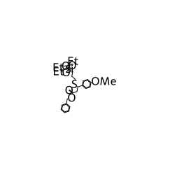 CCO[Si](CCCSC(CC(=O)OCc1ccccc1)c1ccc(OC)cc1)(OCC)OCC